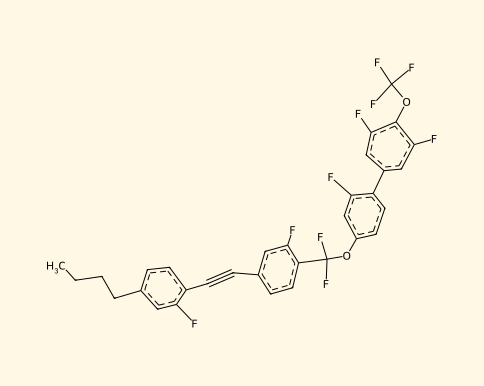 CCCCc1ccc(C#Cc2ccc(C(F)(F)Oc3ccc(-c4cc(F)c(OC(F)(F)F)c(F)c4)c(F)c3)c(F)c2)c(F)c1